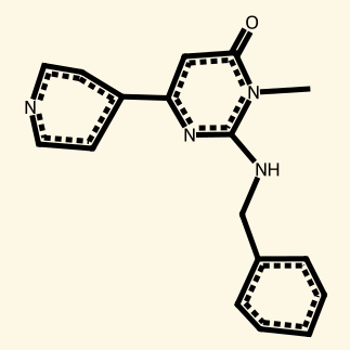 Cn1c(NCc2ccccc2)nc(-c2ccncc2)cc1=O